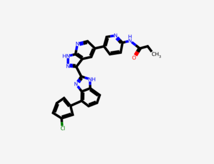 CCC(=O)Nc1ccc(-c2cnc3[nH]nc(-c4nc5c(-c6cccc(Cl)c6)cccc5[nH]4)c3c2)cn1